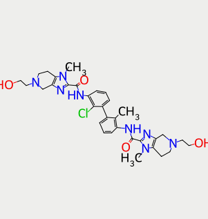 Cc1c(NC(=O)c2nc3c(n2C)CCN(CCO)C3)cccc1-c1cccc(NC(=O)c2nc3c(n2C)CCN(CCO)C3)c1Cl